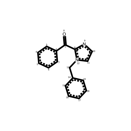 O=C(c1ccccc1)c1nccn1Cc1ccccc1